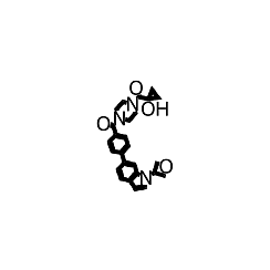 O=C(c1ccc(-c2ccc3ccn(C4COC4)c3c2)cc1)N1CCN(C(=O)C2(O)CC2)CC1